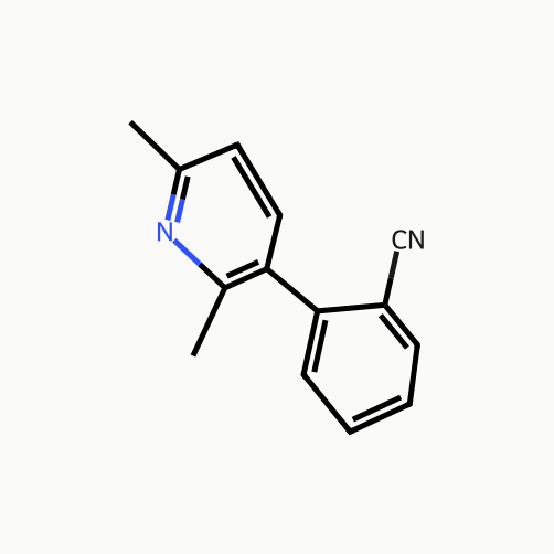 Cc1ccc(-c2ccccc2C#N)c(C)n1